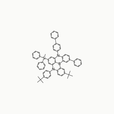 CC(C)(C)c1ccc(N2c3ccc(C(C)(C)C)cc3B3c4cc(-c5ccccc5)ccc4N(c4ccc(-c5ccccc5)cc4)c4cc([Si](C)(c5ccccc5)c5ccccc5)cc2c43)cc1